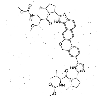 COC(=O)NCC(C(=O)N1C(c2nc3ccc4cc5c(cc4c3[nH]2)OCc2cc(-c3cnc([C@@H]4CC[C@H](C)N4C(=O)[C@@H](NC(=O)OC)C(C)C)[nH]3)ccc2-5)CC[C@@H]1I)[C@H](C)OC